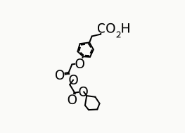 O=C(O)CCc1ccc(OCC(=O)OCC(=O)OC2CCCCC2)cc1